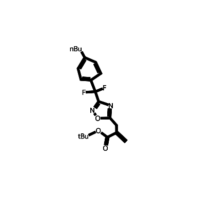 C=C(Cc1nc(C(F)(F)c2ccc(CCCC)cc2)no1)C(=O)OC(C)(C)C